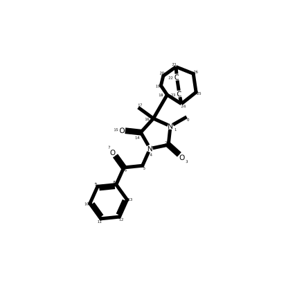 CN1C(=O)N(CC(=O)c2ccccc2)C(=O)C1(C)C1CCC2CCC1CC2